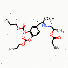 CCC(C)CC(=O)OC(C)CN[C@@H](Cc1ccc(OC(=O)OCCC(C)C)c(OC(=O)OCCC(C)C)c1)C(=O)O